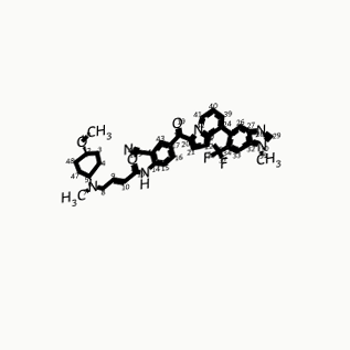 CO[C@H]1CC[C@H](N(C)C/C=C/C(=O)Nc2ccc(C(=O)c3ccc4c(-c5cc6ncn(C)c6cc5C(F)(F)F)cccn34)cc2C#N)CC1